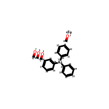 [C]=O.[C]=O.[C]=O.[C]=O.[Fe].c1ccc([As](c2ccccc2)c2ccccc2)cc1